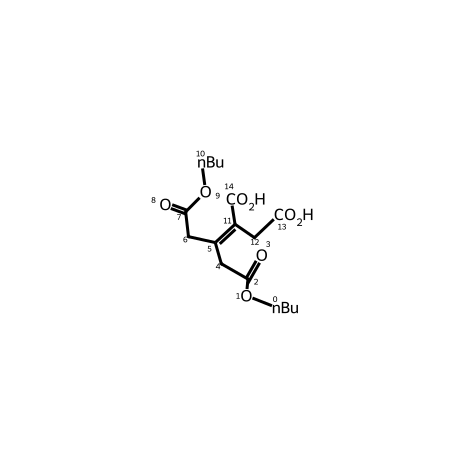 CCCCOC(=O)CC(CC(=O)OCCCC)=C(CC(=O)O)C(=O)O